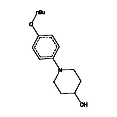 CCCCOc1ccc(N2CCC(O)CC2)cc1